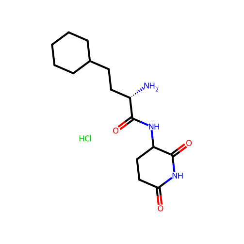 Cl.N[C@@H](CCC1CCCCC1)C(=O)NC1CCC(=O)NC1=O